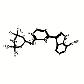 COc1cccc2c(-c3ccnc(NC4CC(C)(C)NC(C)(C)C4)n3)c[nH]c12